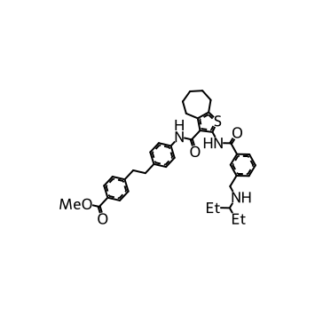 CCC(CC)NCc1cccc(C(=O)Nc2sc3c(c2C(=O)Nc2ccc(CCc4ccc(C(=O)OC)cc4)cc2)CCCCC3)c1